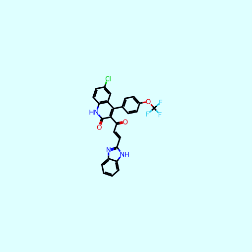 O=C(C=Cc1nc2ccccc2[nH]1)c1c(-c2ccc(OC(F)(F)F)cc2)c2cc(Cl)ccc2[nH]c1=O